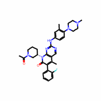 CC(=O)N1CCC[C@H](n2c(=O)c(-c3ccccc3F)c(C)c3cnc(Nc4ccc(N5CCN(C)CC5)c(C)c4)nc32)C1